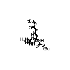 CC(C)(C)OC(=O)CCC[C@](NC(=N)N)(NC(=O)OC(C)(C)C)C(=O)O